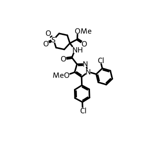 COC(=O)C1(NC(=O)c2nn(-c3ccccc3Cl)c(-c3ccc(Cl)cc3)c2OC)CCS(=O)(=O)CC1